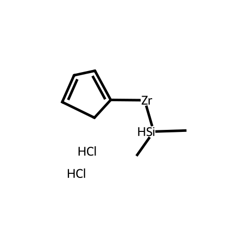 C[SiH](C)[Zr][C]1=CC=CC1.Cl.Cl